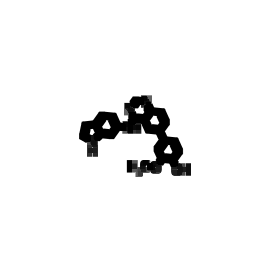 COc1cc(-c2ccc3ncnc(Nc4ccc5cc[nH]c5c4)c3c2)ccc1O